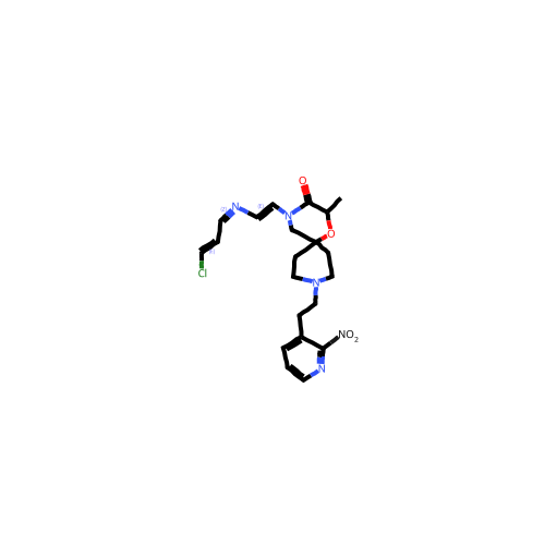 CC1OC2(CCN(CCc3cccnc3[N+](=O)[O-])CC2)CN(/C=C/N=C\C=C\Cl)C1=O